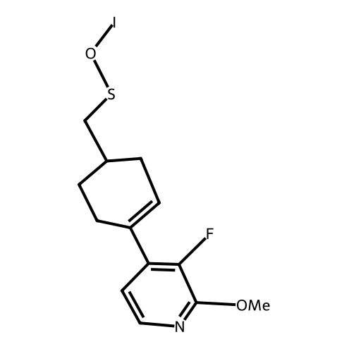 COc1nccc(C2=CCC(CSOI)CC2)c1F